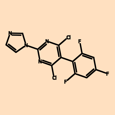 Fc1cc(F)c(-c2c(Cl)nc(-n3ccnc3)nc2Cl)c(F)c1